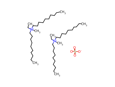 CCCCCCCCCC[N+](C)(CC)CCCCCCCCCC.CCCCCCCCCC[N+](C)(CC)CCCCCCCCCC.O=S(=O)([O-])[O-]